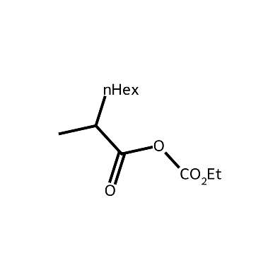 CCCCCCC(C)C(=O)OC(=O)OCC